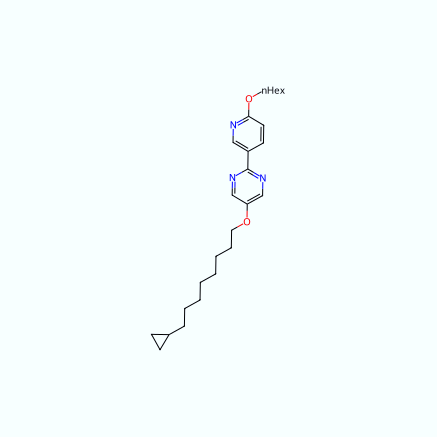 CCCCCCOc1ccc(-c2ncc(OCCCCCCCCC3CC3)cn2)cn1